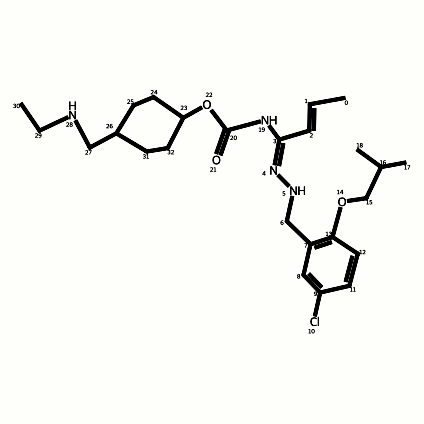 C/C=C/C(=N\NCc1cc(Cl)ccc1OCC(C)C)NC(=O)OC1CCC(CNCC)CC1